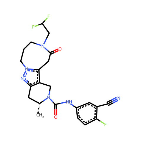 C[C@@H]1Cc2nn3c(c2CN1C(=O)Nc1ccc(F)c(C#N)c1)CC(=O)N(CC(F)F)CCC3